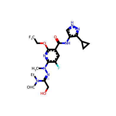 CCN(C=O)/C(CO)=N\N(C)c1nc(OCC(F)(F)F)c(C(=O)Nc2c[nH]nc2C2CC2)cc1F